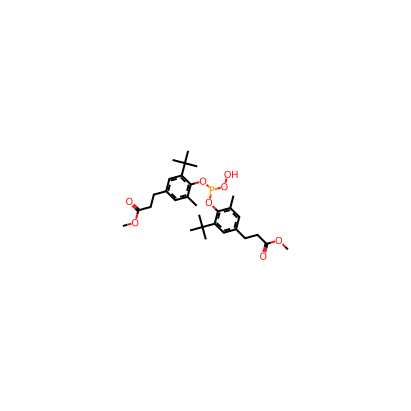 COC(=O)CCc1cc(C)c(OP(OO)Oc2c(C)cc(CCC(=O)OC)cc2C(C)(C)C)c(C(C)(C)C)c1